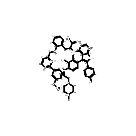 Cc1c(-c2c(-c3ccc(F)cc3)sc3ncnc(OC(Cc4ccccc4OCc4ccnc(-c5cccc(SO)c5)n4)C(=O)O)c23)ccc(OCCN2CCN(C)CC2)c1Cl